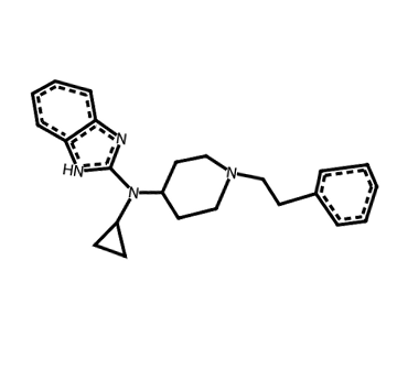 c1ccc(CCN2CCC(N(c3nc4ccccc4[nH]3)C3CC3)CC2)cc1